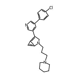 Clc1ccc(-c2cncc(C3=C4C=C4N(CCCN4CCCCC4)C3)c2)cc1